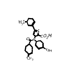 CC1CCC(C(=O)N(c2cc(C3=CCCC(C)C3)sc2C(=O)O)C2CCC(O)CC2)CC1